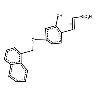 O=C(O)/C=C/c1ccc(OCc2cccc3ccccc23)cc1O